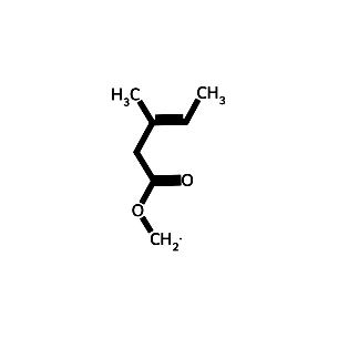 [CH2]OC(=O)CC(C)=CC